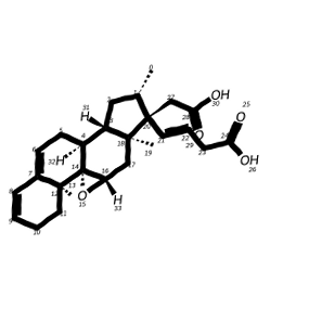 C[C@H]1C[C@H]2[C@@H]3CC=C4C=CCC[C@]4(C)[C@@]34O[C@H]4C[C@]2(C)[C@]1(C=CCC(=O)O)CC(=O)O